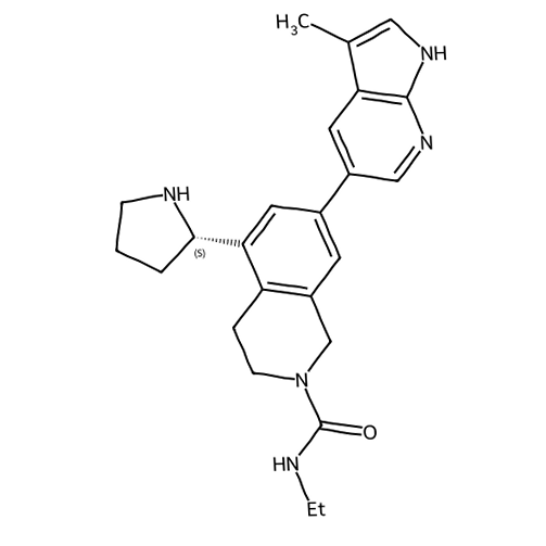 CCNC(=O)N1CCc2c(cc(-c3cnc4[nH]cc(C)c4c3)cc2[C@@H]2CCCN2)C1